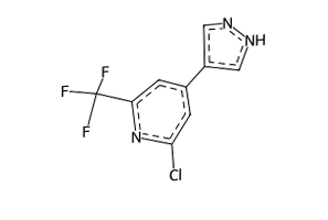 FC(F)(F)c1cc(-c2cn[nH]c2)cc(Cl)n1